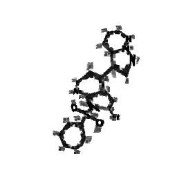 [CH2]Cc1cc2c(-c3cnn4ncccc34)ccnc2n1S(=O)(=O)c1ccccc1